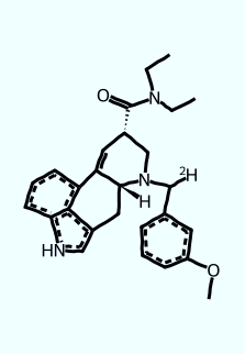 [2H]C(c1cccc(OC)c1)N1C[C@@H](C(=O)N(CC)CC)C=C2c3cccc4[nH]cc(c34)C[C@H]21